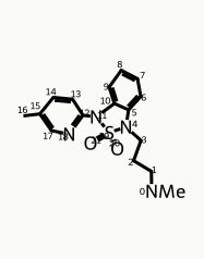 CNCCCN1c2ccccc2N(c2ccc(C)cn2)S1(=O)=O